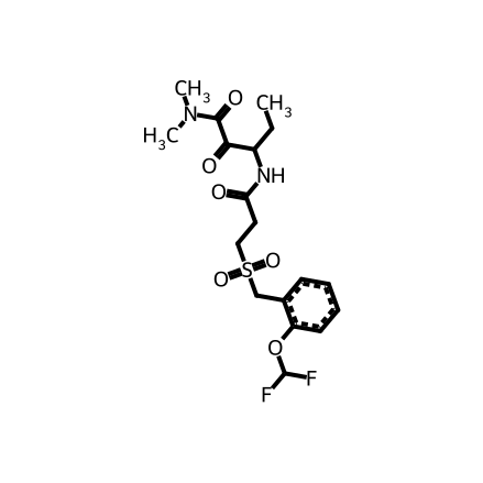 CCC(NC(=O)CCS(=O)(=O)Cc1ccccc1OC(F)F)C(=O)C(=O)N(C)C